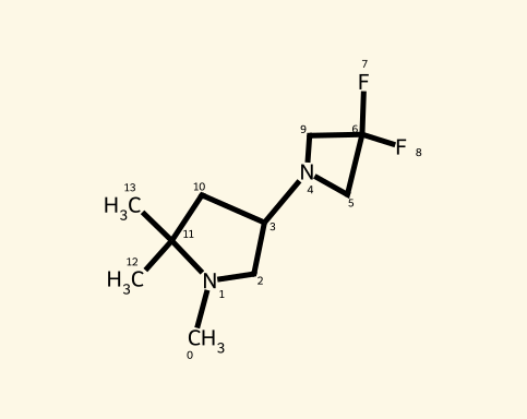 CN1CC(N2CC(F)(F)C2)CC1(C)C